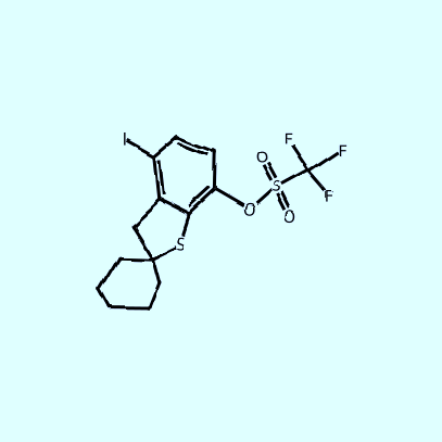 O=S(=O)(Oc1ccc(I)c2c1SC1(CCCCC1)C2)C(F)(F)F